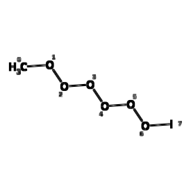 COOOOOOI